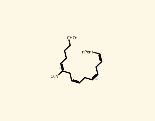 CCCCC/C=C\C/C=C\C/C=C\C/C(=C\CCC[C]=O)[N+](=O)[O-]